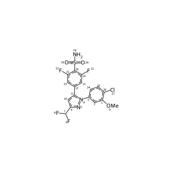 COc1cc(-n2nc(C(F)F)cc2-c2cc(F)c(S(N)(=O)=O)c(F)c2)ccc1Cl